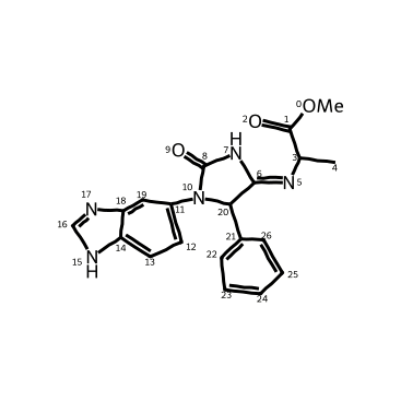 COC(=O)C(C)/N=C1\NC(=O)N(c2ccc3[nH]cnc3c2)C1c1ccccc1